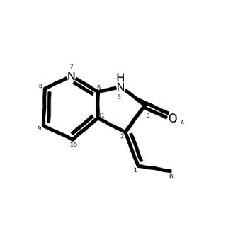 C/C=C1\C(=O)Nc2ncccc21